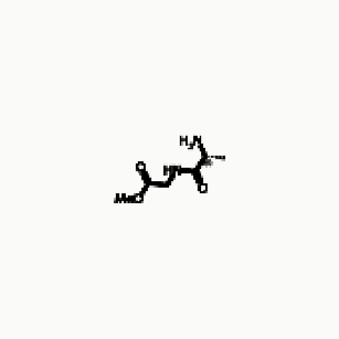 COC(=O)CNC(=O)[C@@H](C)N